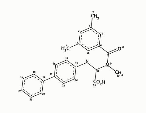 Cc1cc(C)cc(C(=O)N(C)C(Cc2ccc(-c3ccccc3)cc2)C(=O)O)c1